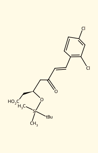 CC(C)(C)[Si](C)(C)O[C@@H](CC(=O)O)CC(=O)C=Cc1ccc(Cl)cc1Cl